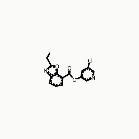 CCc1nc2cccc(C(=O)Oc3cncc(Cl)c3)c2o1